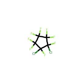 FC1(F)C(F)(F)C(F)(Cl)C(F)(Cl)C1(F)F